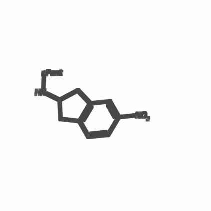 CCCCCNC1Cc2ccc([N+](=O)[O-])cc2C1